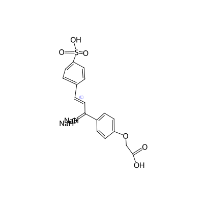 O=C(O)COc1ccc(C(=O)/C=C/c2ccc(S(=O)(=O)O)cc2)cc1.[NaH].[NaH]